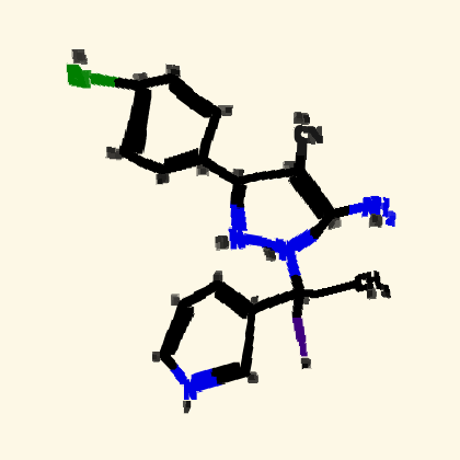 CC(I)(c1cccnc1)n1nc(-c2ccc(Br)cc2)c(C#N)c1N